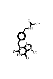 CCCC(=O)NCc1ccc(Cn2c(=O)[nH]c(=O)c3c2ncn3CC)cc1